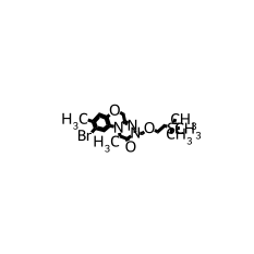 Cc1cc2c(cc1Br)N1C(=NN(COCC[Si](C)(C)C)C(=O)C1C)CO2